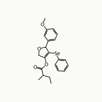 CCC(C)C(=O)OC1=C([Se]c2ccccc2)C(c2cccc(OC)c2)OC1